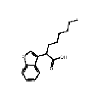 CCCCCCC(C(=O)O)c1coc2ccccc12